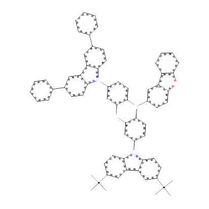 CC(C)(C)c1ccc2c(c1)c1cc(C(C)(C)C)ccc1n2-c1ccc2c(c1)Sc1cc(-n3c4ccc(-c5ccccc5)cc4c4cc(-c5ccccc5)ccc43)ccc1N2c1ccc2oc3ccccc3c2c1